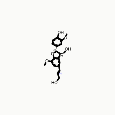 COc1cc([C@H]2Oc3c(OC)cc(/C=C/CO)cc3[C@@H]2CO)ccc1O